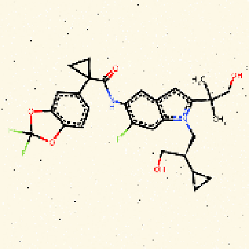 CC(C)(CO)c1cc2cc(NC(=O)C3(c4ccc5c(c4)OC(F)(F)O5)CC3)c(F)cc2n1C[C@H](CO)C1CC1